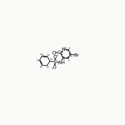 O=S(=O)(Nc1cc(Br)cnc1Cl)C1C=CC=CC1